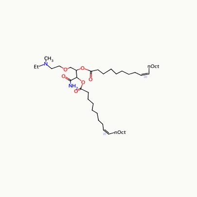 CCCCCCCC/C=C\CCCCCCCC(=O)OC(COCCN(C)CC)C(OC(=O)CCCCCCC/C=C\CCCCCCCC)C(N)=O